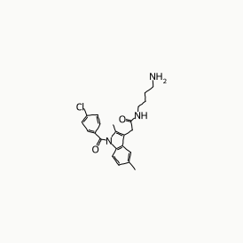 Cc1ccc2c(c1)c(CC(=O)NCCCCN)c(C)n2C(=O)c1ccc(Cl)cc1